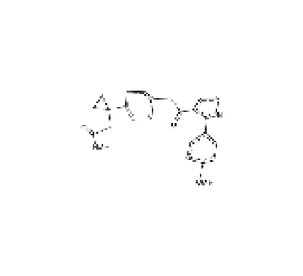 CNC(=O)CC1(c2ccc(CC(=O)c3cnnn3-c3ccc(OC)cc3)cc2)CC1